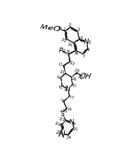 COc1ccc2nccc([C@H](F)CC[C@@H]3CCN(CCCSc4cnccn4)C[C@@H]3CO)c2c1